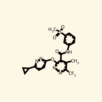 Cc1c(C(F)(F)F)nnc(Oc2ccc(C3CC3)nn2)c1C(=O)Nc1cccc(S(C)(=O)=O)c1